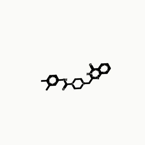 Cc1ccc(NC(=O)N2CCN(Cc3nc4ccccc4c(=O)[nH]3)CC2)cc1C